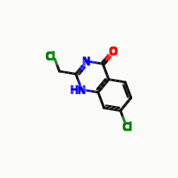 O=c1nc(CCl)[nH]c2cc(Cl)ccc12